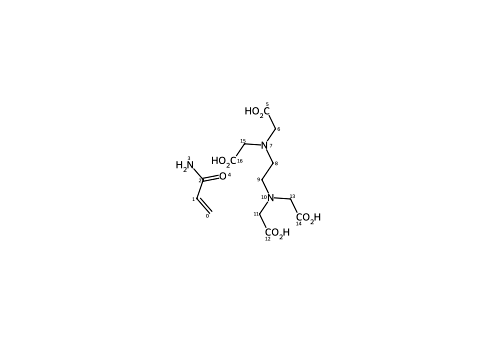 C=CC(N)=O.O=C(O)CN(CCN(CC(=O)O)CC(=O)O)CC(=O)O